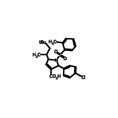 Cc1ccccc1S(=O)(=O)N1C(c2ccc(Cl)cc2)C(C(=O)O)=CC1C(C)CC(C)(C)C